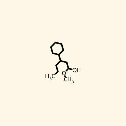 CCCC(CC(O)OC)C1CCCCC1